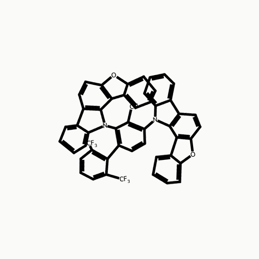 N#Cc1c(-n2c3ccccc3c3ccc4oc5ccccc5c4c32)ccc(-c2c(C(F)(F)F)cccc2C(F)(F)F)c1-n1c2ccccc2c2ccc3oc4ccccc4c3c21